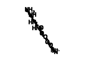 [N-]=[N+]=NCCOCCOCCOCCOCCC(=O)NCCCNCCCCNCCCN